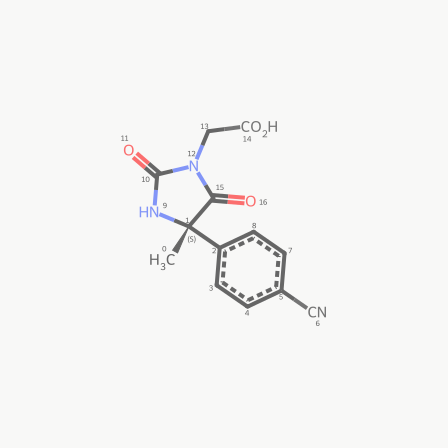 C[C@@]1(c2ccc(C#N)cc2)NC(=O)N(CC(=O)O)C1=O